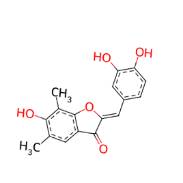 Cc1cc2c(c(C)c1O)O/C(=C\c1ccc(O)c(O)c1)C2=O